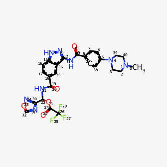 CN1CCN(c2ccc(C(=O)Nc3n[nH]c4ccc(C(=O)NC(OC(=O)C(F)(F)F)c5ncon5)cc34)cc2)CC1